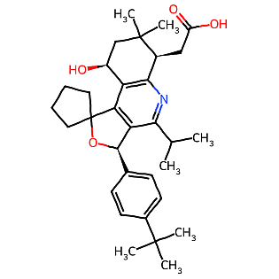 CC(C)c1nc2c(c3c1[C@@H](c1ccc(C(C)(C)C)cc1)OC31CCCC1)[C@@H](O)CC(C)(C)[C@H]2CC(=O)O